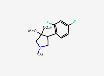 COC1(C(=O)O)CN(C(C)(C)C)CC1c1ccc(F)cc1F